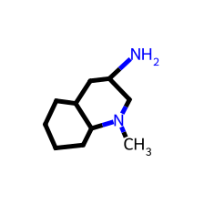 CN1CC(N)CC2CCCCC21